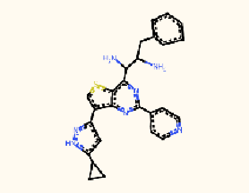 NC(Cc1ccccc1)C(N)c1nc(-c2ccncc2)nc2c(-c3cc(C4CC4)[nH]n3)csc12